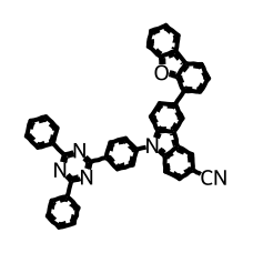 N#Cc1ccc2c(c1)c1cc(-c3cccc4c3oc3ccccc34)ccc1n2-c1ccc(-c2nc(-c3ccccc3)nc(-c3ccccc3)n2)cc1